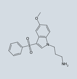 COc1ccc2c(c1)c(S(=O)(=O)c1ccccc1)cn2CCCN